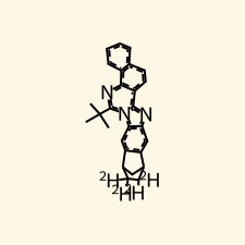 [2H]C1([2H])C2CC(c3cc4c(cc32)nc2c3ccc5ccccc5c3nc(C(C)(C)C)n42)C1([2H])[2H]